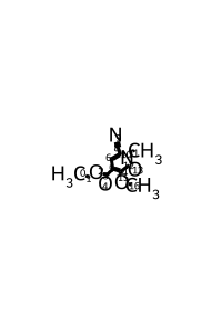 CCOC(=O)c1cc(C#N)n(C)c(=O)c1OC